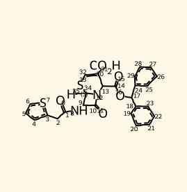 O=C(Cc1cccs1)NC1C(=O)N2C(C(=O)OC(c3ccccc3)c3ccccc3)C(C(=O)O)=CS[C@@H]12